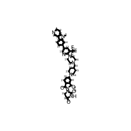 Cn1c2ccncc2c2ccc(-c3cnc(N4CCN(CC5CCN(c6ccc7c(c6)C(=O)N(N6CCC(=O)NC6=O)C7=O)CC5)CC4)c(C(F)(F)F)c3)cc21